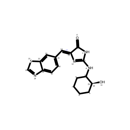 O=C1NC(NC2CCCC[C@@H]2O)=N/C1=C\c1ccc2ncsc2c1